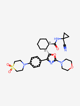 N#CC1(NC(=O)[C@@H]2CCCC[C@H]2c2oc(N3CCOCC3)nc2-c2ccc(N3CCS(=O)(=O)CC3)cc2)CC1